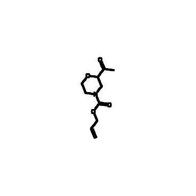 C=CCOC(=O)N1CCOC(C(C)=O)C1